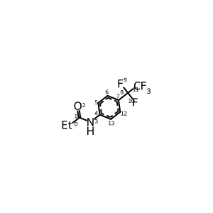 [CH2]CC(=O)Nc1ccc(C(F)(F)C(F)(F)F)cc1